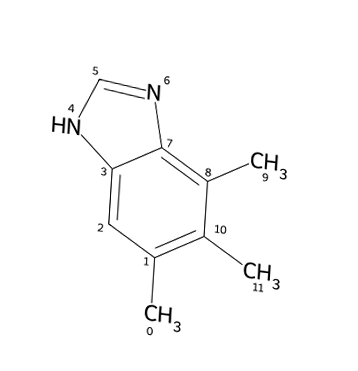 Cc1cc2[nH]cnc2c(C)c1C